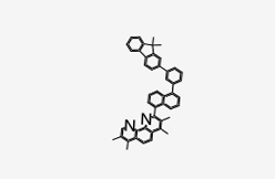 Cc1cnc2c(ccc3c(C)c(C)c(-c4cccc5c(-c6cccc(-c7ccc8c(c7)C(C)(C)c7ccccc7-8)c6)cccc45)nc32)c1C